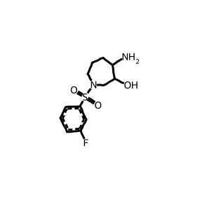 NC1CCCN(S(=O)(=O)c2cccc(F)c2)CC1O